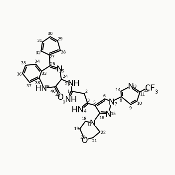 N=C(CC(=N)c1cn(-c2ccc(C(F)(F)F)nc2)nc1N1CCOCC1)NC1N=C(c2ccccc2)c2ccccc2NC1=O